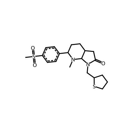 CN1C(c2ccc(S(C)(=O)=O)cc2)CCC2CC(=O)N(CC3CCCS3)C21